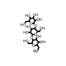 CC(C)(C)CC1OC(CO)C(OC2OC(CO)C(OC3OC(CO)C(O)C(O)C3O)C(O)C2O)C(O)C1O